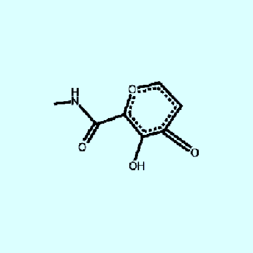 CNC(=O)c1occc(=O)c1O